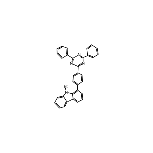 CCn1c2ccccc2c2cccc(-c3ccc(-c4nc(-c5ccccc5)nc(-c5ccccc5)n4)cc3)c21